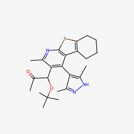 CC(=O)C(OC(C)(C)C)c1c(C)nc2sc3c(c2c1-c1c(C)n[nH]c1C)CCCC3